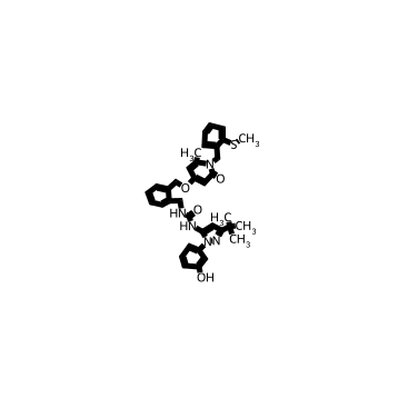 CSc1ccccc1Cn1c(C)cc(OCc2ccccc2CNC(=O)Nc2cc(C(C)(C)C)nn2-c2cccc(O)c2)cc1=O